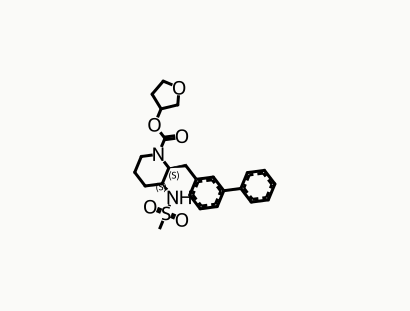 CS(=O)(=O)N[C@H]1CCCN(C(=O)OC2CCOC2)[C@H]1Cc1cccc(-c2ccccc2)c1